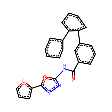 O=C(Nc1nnc(-c2ccco2)o1)c1cccc(-c2ccccc2-c2ccccc2)c1